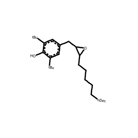 CCCCCCCCCCCCCCCC1OC1Cc1cc(C(C)(C)C)c(O)c(C(C)(C)C)c1